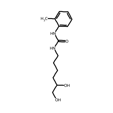 Cc1ccccc1NC(=O)NCCCCC(O)CO